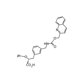 CC(C)O[C@@H](Cc1cccc(CNC(=O)OCc2ccc3ccccc3n2)c1)C(=O)O